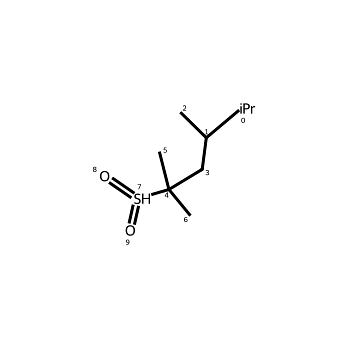 CC(C)C(C)CC(C)(C)[SH](=O)=O